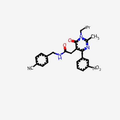 Cc1nc(-c2cccc([N+](=O)[O-])c2)c(CC(=O)NCc2ccc(C#N)cc2)c(=O)n1CC(C)C